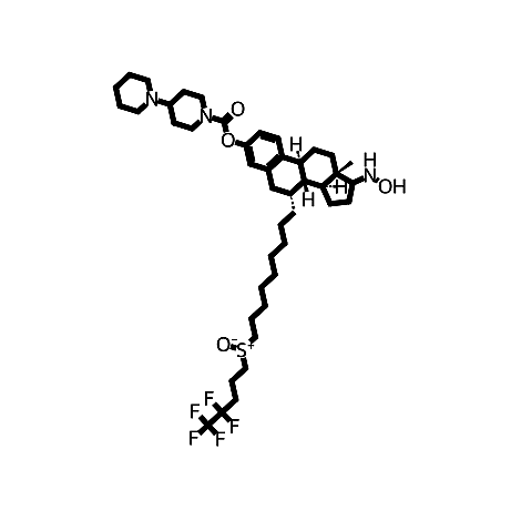 C[C@]12CC[C@@H]3c4ccc(OC(=O)N5CCC(N6CCCCC6)CC5)cc4C[C@@H](CCCCCCCCC[S+]([O-])CCCC(F)(F)C(F)(F)F)[C@H]3[C@@H]1CCC2NO